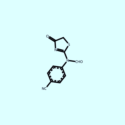 N#Cc1ccc(N(C=O)C2=NC(=O)CS2)cc1